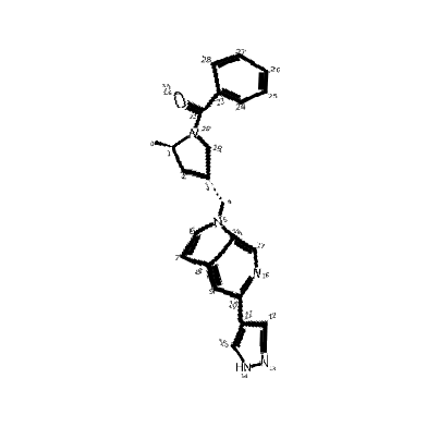 C[C@@H]1C[C@@H](Cn2ccc3cc(-c4cn[nH]c4)ncc32)CN1C(=O)c1ccccc1